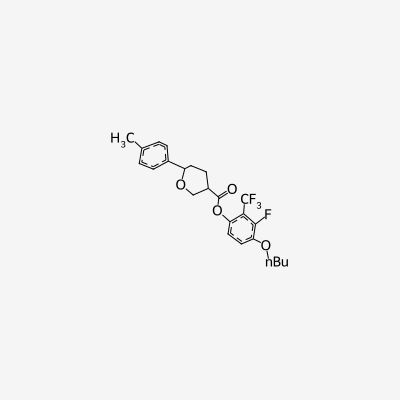 CCCCOc1ccc(OC(=O)C2CCC(c3ccc(C)cc3)OC2)c(C(F)(F)F)c1F